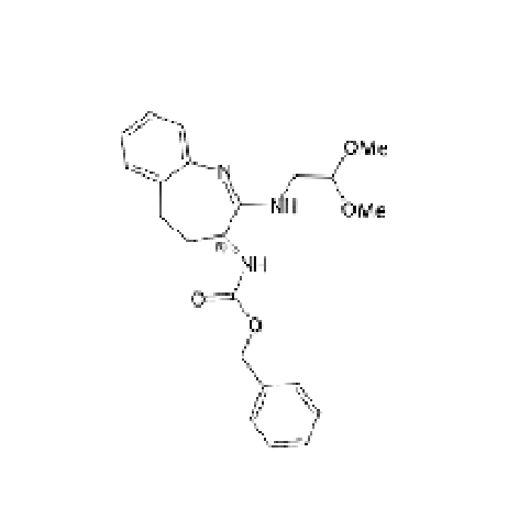 COC(CNC1=Nc2ccccc2CC[C@H]1NC(=O)OCc1ccccc1)OC